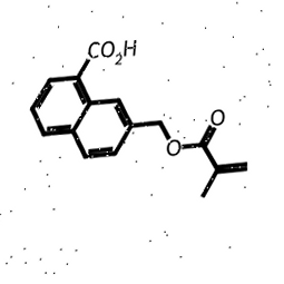 C=C(C)C(=O)OCc1ccc2cccc(C(=O)O)c2c1